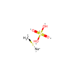 C[S-].O=S(=O)(O)O.[Na+]